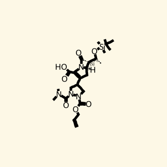 C=CCOC(=O)N1CC(C2=C(C(=O)O)N3C(=O)[C@H]([C@@H](C)O[Si](C)(C)C(C)(C)C)[C@H]3C2)CN1C(=O)N(C)C